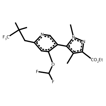 CCOC(=O)c1nn(C)c(-c2cnc(CC(C)(C)C(F)(F)F)cc2OC(F)F)c1C